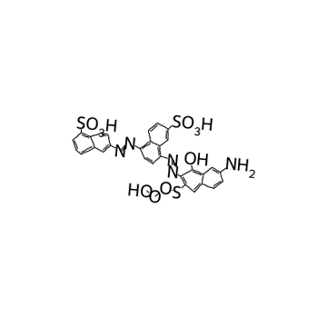 Nc1ccc2cc(SOOO)c(N=Nc3ccc(N=Nc4ccc5c(S(=O)(=O)O)cccc5c4)c4ccc(S(=O)(=O)O)cc34)c(O)c2c1